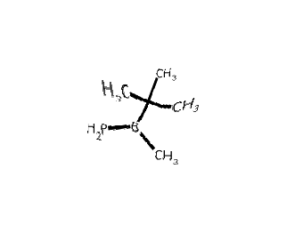 CB(P)C(C)(C)C